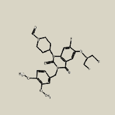 COc1ccc(Cn2c(=O)c3cc(OC(CF)CF)c(F)cc3n(C3CCN(C=O)CC3)c2=O)cc1OC